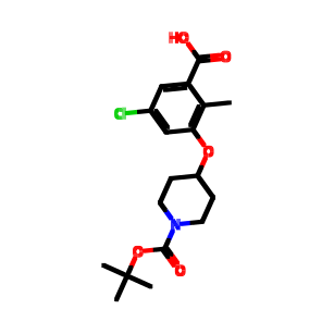 Cc1c(OC2CCN(C(=O)OC(C)(C)C)CC2)cc(Cl)cc1C(=O)O